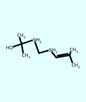 CC(C)=C[SiH2]C[SiH2]C(C)(C)O